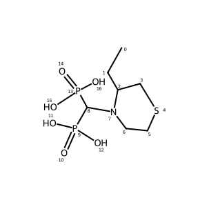 CCC1CSCCN1C(P(=O)(O)O)P(=O)(O)O